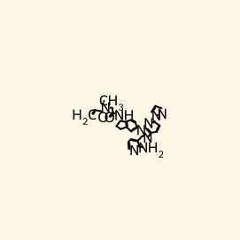 C=CC(=O)N(C)CC(=O)N[C@H]1CCc2cc(-n3c(-c4cccnc4N)nc4ccc(-n5cccn5)nc43)ccc21